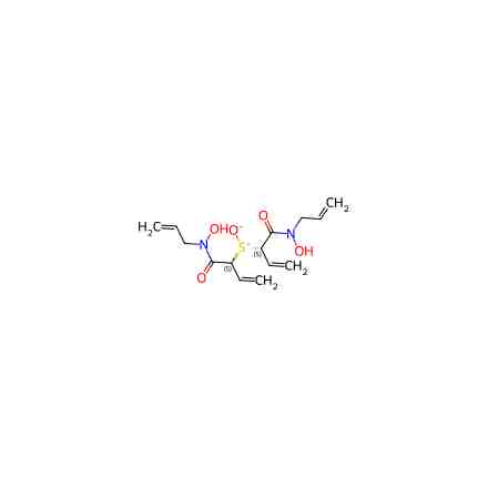 C=CCN(O)C(=O)[C@H](C=C)[S+]([O-])[C@@H](C=C)C(=O)N(O)CC=C